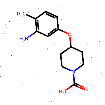 Cc1ccc(OC2CCN(C(=O)O)CC2)cc1N